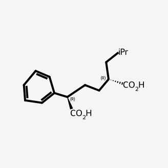 CC(C)C[C@@H](CC[C@@H](C(=O)O)c1ccccc1)C(=O)O